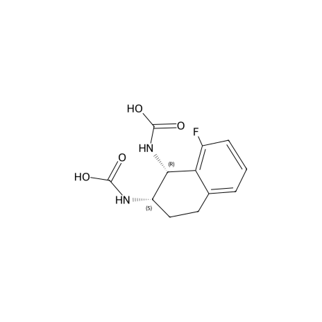 O=C(O)N[C@H]1CCc2cccc(F)c2[C@H]1NC(=O)O